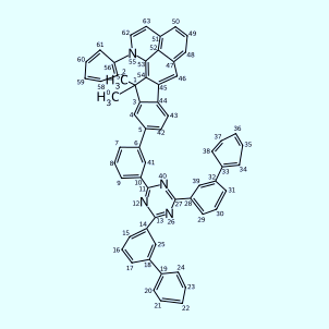 CC1(C)c2cc(-c3cccc(-c4nc(-c5cccc(-c6ccccc6)c5)nc(-c5cccc(-c6ccccc6)c5)n4)c3)ccc2-c2cc3cccc4c3c(c21)N(c1ccccc1)C=C4